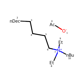 CC(=O)[O-].CCCCCCCCCCCCCC[N+](CC)(CC)CCCC